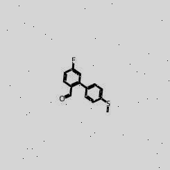 CSc1ccc(-c2cc(F)ccc2C=O)cc1